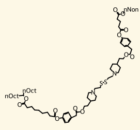 CCCCCCCCCOC(=O)CCCC(=O)Oc1ccc(CC(=O)OCCC2CCN(CCSSCCN3CCC(CCOC(=O)Cc4ccc(OC(=O)CCCCCCCC(=O)OC(CCCCCCCC)CCCCCCCC)cc4)CC3)CC2)cc1